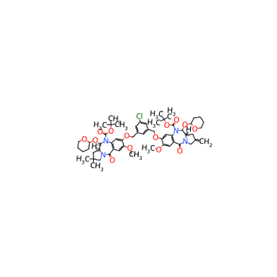 C=C1C[C@H]2C(OC3CCCCO3)N(C(=O)OC(C)(C)C)c3cc(OCc4cc(Cl)cc(COc5cc6c(cc5OC)C(=O)N5CC(C)(C)C[C@H]5[C@H](OC5CCCCO5)N6C(=O)OC(C)(C)C)c4)c(OC)cc3C(=O)N2C1